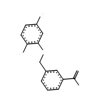 O=C(O)c1cccc(COc2cc(Cl)ccc2Cl)c1